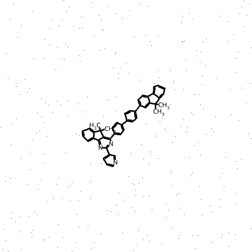 CC1(C)c2ccccc2-c2ccc(-c3ccc(-c4ccc(-c5nc(-c6cccnc6)nc6c5C(C)(C)c5ccccc5-6)cc4)cc3)cc21